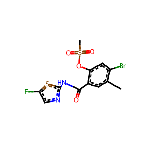 Cc1cc(C(=O)Nc2ncc(F)s2)c(OS(C)(=O)=O)cc1Br